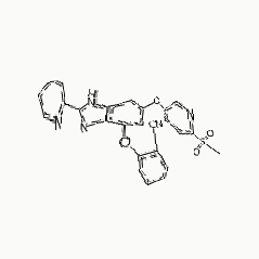 CS(=O)(=O)c1ccc(Oc2cc(Oc3ccccc3C#N)c3nc(-c4ccccn4)[nH]c3c2)cn1